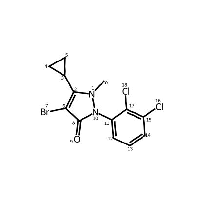 Cn1c(C2CC2)c(Br)c(=O)n1-c1cccc(Cl)c1Cl